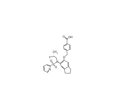 C[C@@H](F)CN(c1cc2c(cc1OCc1ccc(C(=O)O)cc1)CCC2)S(=O)(=O)c1ccccn1